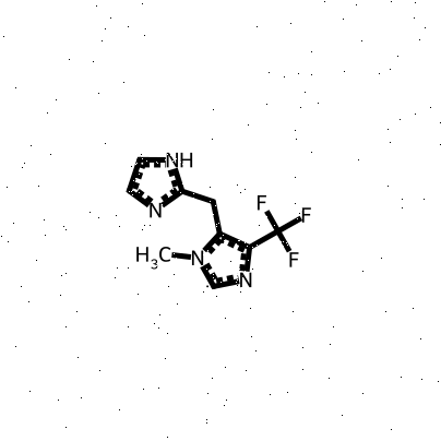 Cn1[c]nc(C(F)(F)F)c1Cc1ncc[nH]1